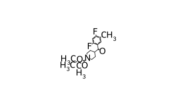 Cc1cc(C(=O)C2CCN(C(=O)OC(C)(C)C)CC2)c(F)cc1F